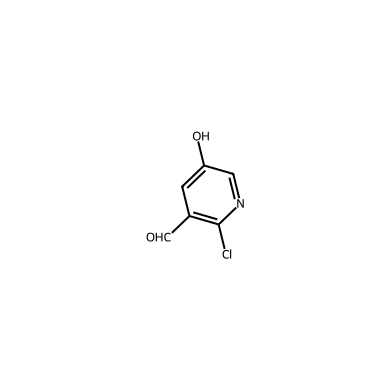 O=Cc1cc(O)cnc1Cl